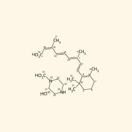 CC(C=CC1=C(C)CCCC1(C)C)=CC=C/C(C)=C\C(=O)O.Cl.O=C(O)N1CCNCC1